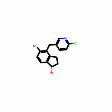 N#Cc1ccc2c(c1Cc1ccc(Cl)nc1)CC[C@@H]2O